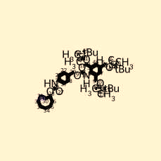 CC(C)(C)[Si](C)(C)OCc1cc(CO[Si](C)(C)C(C)(C)C)c(NC(=O)OCc2ccc(NC(=O)OC3/C=C/CCCCC3)cc2)c(CO[Si](C)(C)C(C)(C)C)c1